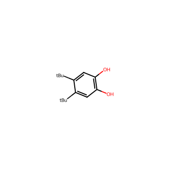 CC(C)(C)c1cc(O)c(O)cc1C(C)(C)C